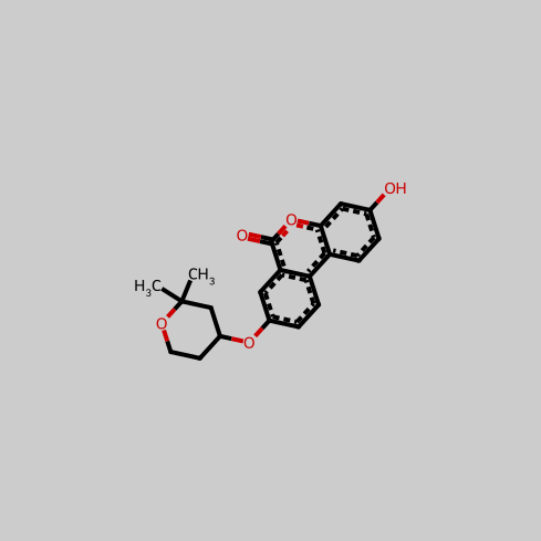 CC1(C)CC(Oc2ccc3c(c2)c(=O)oc2cc(O)ccc23)CCO1